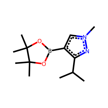 CC(C)c1nn(C)cc1B1OC(C)(C)C(C)(C)O1